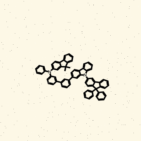 CC1(C)c2ccccc2-c2ccc(N(c3ccccc3)c3cccc(-c4cccc(-c5ccc6c7ccccc7n(-c7ccc8c(c7)-c7ccccc7C8(c7ccccc7)c7ccccc7)c6c5)c4)c3)cc21